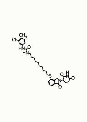 Cc1ccc(NC(=O)NCCCCCCCCCCSc2cccc3c2CN(C2CCC(=O)NC2=O)C3=O)cc1Cl